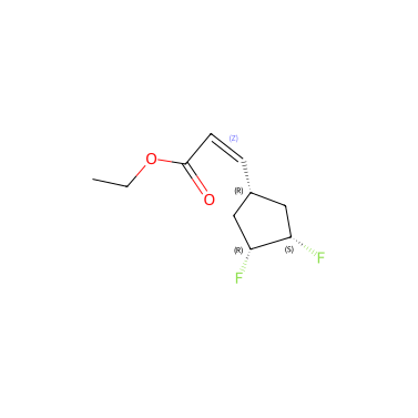 CCOC(=O)/C=C\[C@H]1C[C@@H](F)[C@@H](F)C1